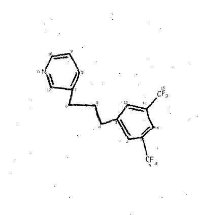 FC(F)(F)c1cc(C[CH]Cc2cccnc2)cc(C(F)(F)F)c1